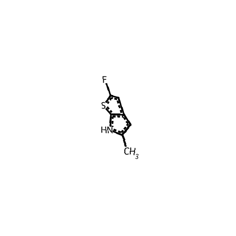 Cc1cc2cc(F)sc2[nH]1